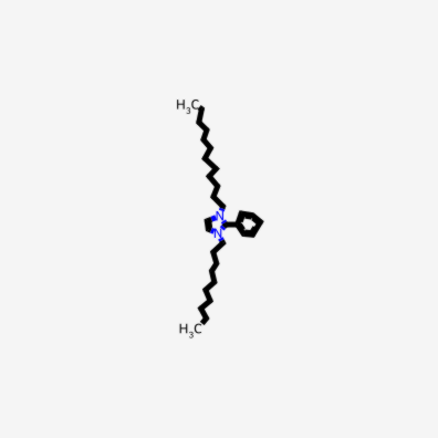 CCCCCCCCCCCCN1C=CN(CCCCCCCCCC)C1c1ccccc1